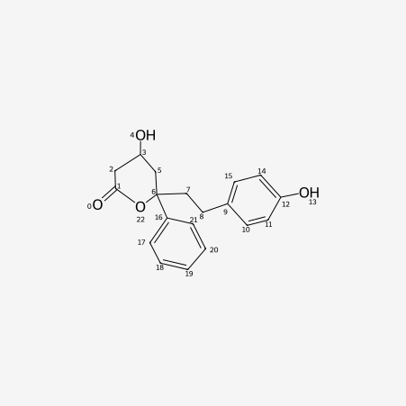 O=C1CC(O)CC(CCc2ccc(O)cc2)(c2ccccc2)O1